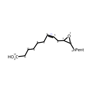 CCCCCC1OC1C/C=C\CCCCCC(=O)O